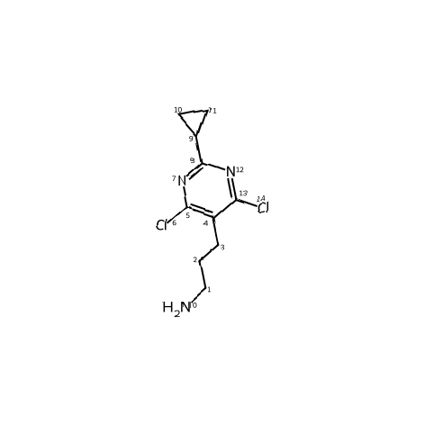 NCCCc1c(Cl)nc(C2CC2)nc1Cl